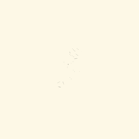 CC1(C)O[C@@H]2[C@H](O1)C(CN1CC(F)(F)CC13CCN(CCc1ccc(F)cc1)CC3)O[C@H]2c1ccc2c(N)ncnn12